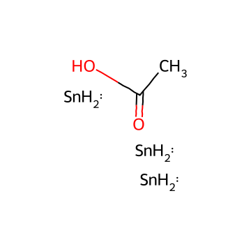 CC(=O)O.[SnH2].[SnH2].[SnH2]